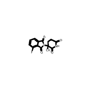 CC1(N2C(=O)c3cccc(F)c3C2=O)CCC(=O)NC1=O